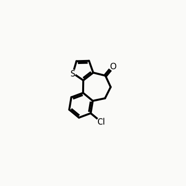 O=C1CCc2c(Cl)cccc2-c2sccc21